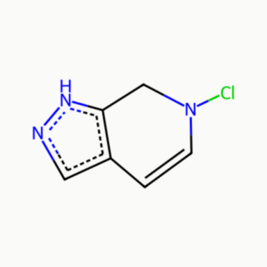 ClN1C=Cc2cn[nH]c2C1